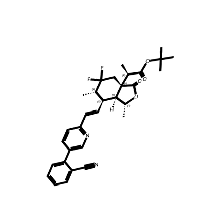 C[C@H]1OC(=O)[C@]2([C@@H](C)C(=O)OC(C)(C)C)CC(F)(F)[C@@H](C)[C@H](C=Cc3ccc(-c4ccccc4C#N)cn3)[C@H]12